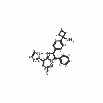 NC1(c2ccc(C3N=C4C(c5ncc[nH]5)=CC(Cl)=NN4C3c3ccccc3)cc2)CCC1